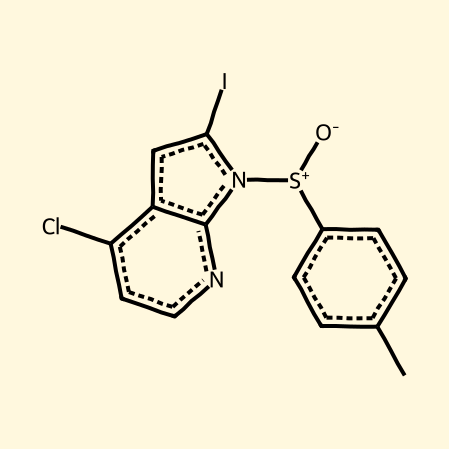 Cc1ccc([S+]([O-])n2c(I)cc3c(Cl)ccnc32)cc1